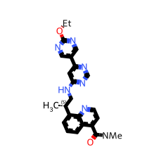 CCOc1ncc(-c2cc(NC[C@@H](C)c3cccc4c(C(=O)NC)ccnc34)ncn2)cn1